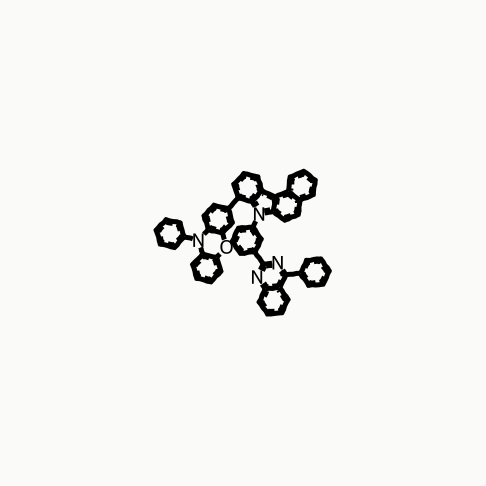 c1ccc(-c2nc(-c3cccc(-n4c5ccc6ccccc6c5c5cccc(-c6ccc7c(c6)Oc6ccccc6N7c6ccccc6)c54)c3)nc3ccccc23)cc1